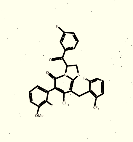 COc1cccc(-c2c(C)c(Cc3c(F)cccc3C(F)(F)F)c3n(c2=O)C(C(=O)c2cccc(F)c2)CS3)c1F